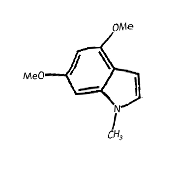 COc1cc(OC)c2c[c]n(C)c2c1